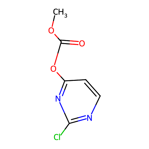 COC(=O)Oc1ccnc(Cl)n1